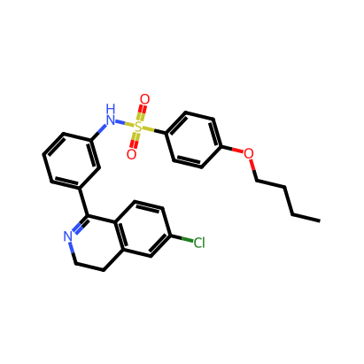 CCCCOc1ccc(S(=O)(=O)Nc2cccc(C3=NCCc4cc(Cl)ccc43)c2)cc1